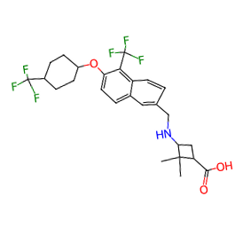 CC1(C)C(NCc2ccc3c(C(F)(F)F)c(OC4CCC(C(F)(F)F)CC4)ccc3c2)CC1C(=O)O